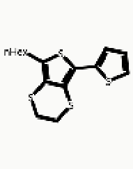 CCCCCCc1sc(-c2cccs2)c2c1SCCS2